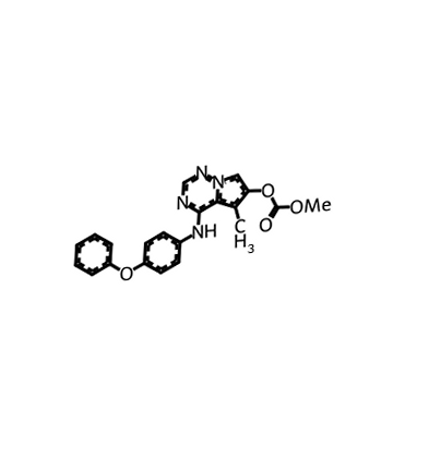 COC(=O)Oc1cn2ncnc(Nc3ccc(Oc4ccccc4)cc3)c2c1C